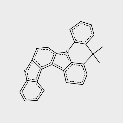 CC1(C)c2ccccc2-n2c3ccc4sc5ccccc5c4c3c3cccc1c32